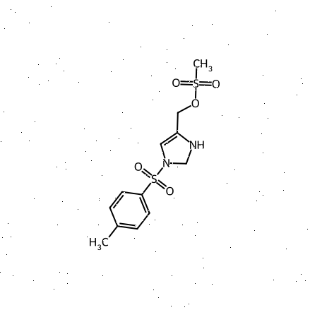 Cc1ccc(S(=O)(=O)N2C=C(COS(C)(=O)=O)NC2)cc1